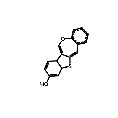 OC1=CC2SC3=Cc4ccccc4OC=C3C2C=C1